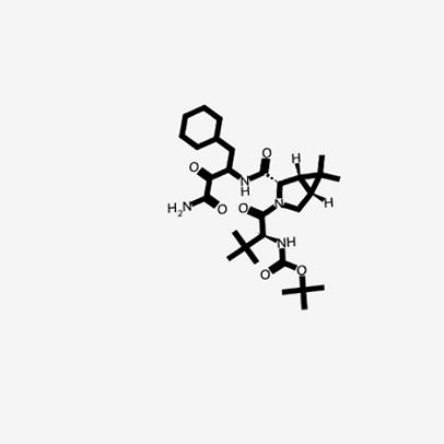 CC(C)(C)OC(=O)N[C@H](C(=O)N1C[C@@H]2[C@H]([C@H]1C(=O)NC(CC1CCCCC1)C(=O)C(N)=O)C2(C)C)C(C)(C)C